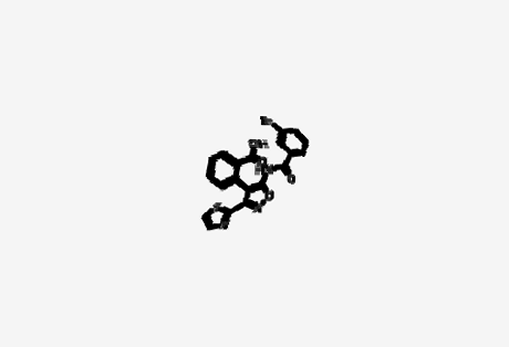 O=C(Nc1onc(-c2nccs2)c1-c1ccccc1C(=O)O)c1cccc(Br)c1